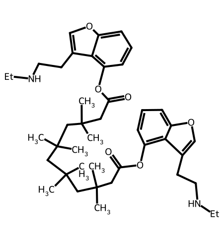 CCNCCc1coc2cccc(OC(=O)CC(C)(C)CC(C)(C)CC(C)(C)CC(C)(C)CC(=O)Oc3cccc4occ(CCNCC)c34)c12